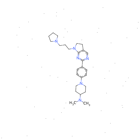 CN(C)C1CCN(c2ccc(-c3ncc4c(n3)N(CCCN3CCCC3)CC4)cc2)CC1